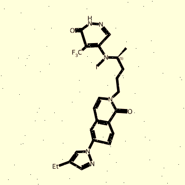 CCc1cnn(-c2ccc3c(=O)n(CCC[C@H](C)N(I)c4cn[nH]c(=O)c4C(F)(F)F)ccc3c2)c1